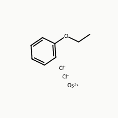 CCOc1ccccc1.[Cl-].[Cl-].[Os+2]